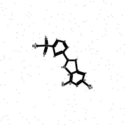 NS(=O)(=O)c1cccc(C2Cc3cc(C(F)(F)F)cc(Cl)c3O2)c1